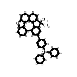 CC1(C)c2cc(-c3ccc(N(c4ccccc4)c4ccccc4)cc3)cc3c2-c2c1ccc1ccc4oc5cccc-3c5c4c21